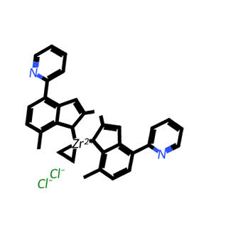 CC1=Cc2c(-c3ccccn3)ccc(C)c2[CH]1[Zr+2]1([CH]2C(C)=Cc3c(-c4ccccn4)ccc(C)c32)[CH2][CH2]1.[Cl-].[Cl-]